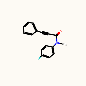 CN(C(=O)C#Cc1ccccc1)c1ccc(F)cc1